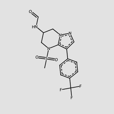 CS(=O)(=O)N1CC(NC=O)Cn2ncc(-c3ccc(C(F)(F)F)cc3)c21